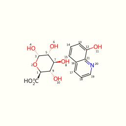 O=C(O)[C@H]1O[C@H](O)[C@H](O)[C@@H](O)[C@@H]1O.Oc1cccc2cccnc12